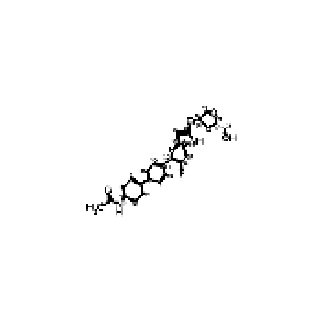 CC(=O)NC1CC=C(c2ccc(-c3nc4cc(O[C@@H]5CO[C@H](CO)C5)[nH]c4cc3F)cc2)CC1